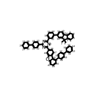 CC1(C)c2ccccc2-c2ccc(-c3cccc(-c4nc(-c5ccc(-c6ccccc6)cc5)nc(-c5ccc6c(c5)oc5cccc(-c7ccc(-c8ccccc8)cc7)c56)n4)c3)cc21